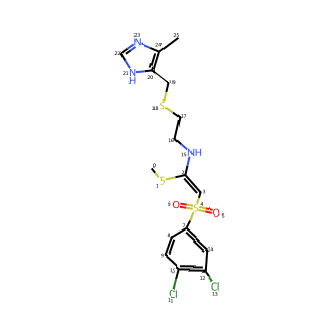 CSC(=CS(=O)(=O)c1ccc(Cl)c(Cl)c1)NCCSCc1[nH]cnc1C